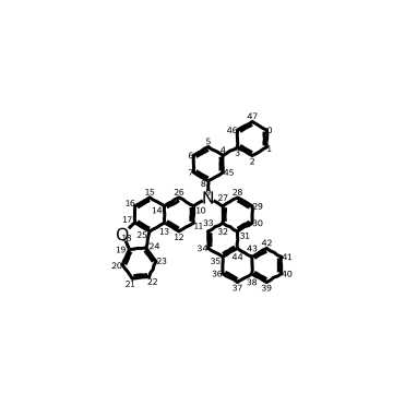 c1ccc(-c2cccc(N(c3ccc4c(ccc5oc6ccccc6c54)c3)c3cccc4c3ccc3ccc5ccccc5c34)c2)cc1